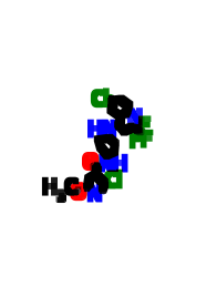 COc1cc(C(=O)N[C@H]2CC[C@@H](Nc3cc(C(F)(F)F)nc4ccc(Cl)cc34)CC2)c(Cl)cn1